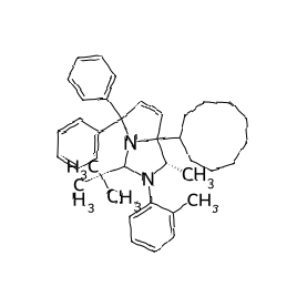 Cc1ccccc1N1C(C(C)(C)C)N2C(c3ccccc3)(c3ccccc3)C=CC2(C2CCCCCCCC2)[C@@H]1C